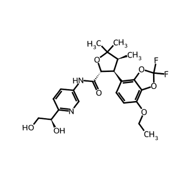 CCOc1ccc([C@H]2[C@H](C(=O)Nc3ccc([C@@H](O)CO)nc3)OC(C)(C)[C@H]2C)c2c1OC(F)(F)O2